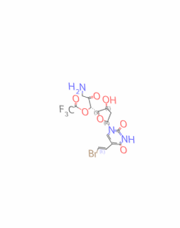 NCC(=O)C(OC(=O)C(F)(F)F)[C@H]1O[C@@H](n2cc(/C=C/Br)c(=O)[nH]c2=O)C[C@@H]1O